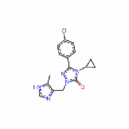 Cc1[nH]cnc1Cn1nc(-c2ccc(Cl)cc2)n(C2CC2)c1=O